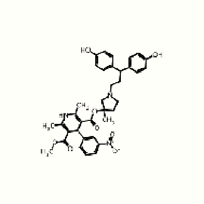 COC(=O)C1=C(C)NC(C)=C(C(=O)O[C@@]2(C)CCN(CCC(c3ccc(O)cc3)c3ccc(O)cc3)C2)[C@H]1c1cccc([N+](=O)[O-])c1